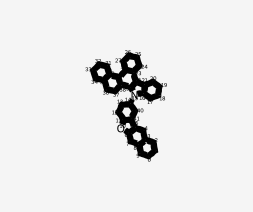 c1ccc2cc3c(cc2c1)oc1ccc(-n2c4ccccc4c4c5ccccc5c5c6ccccc6ccc5c42)cc13